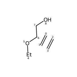 C=C.C=C.CCOCCO